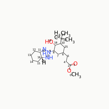 COC(=O)CCC1CC(N2NC3CCCC[C@H]3N2)C(O)C(C(C)(C)C)C1